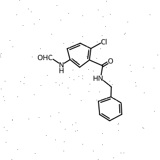 O=CNc1ccc(Cl)c(C(=O)NCc2ccccc2)c1